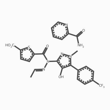 CC=NN(C(=O)c1ccc(C(=O)O)s1)c1nn(C)c(-c2ccc(C(F)(F)F)cc2)c1O.NC(=O)c1ccccn1